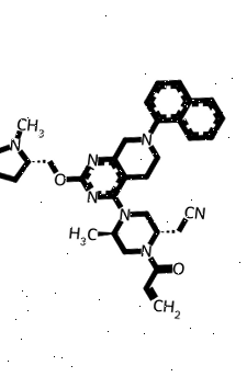 C=CC(=O)N1C[C@@H](C)N(c2nc(OC[C@@H]3CCCN3C)nc3c2CCN(c2cccc4ccccc24)C3)C[C@@H]1CC#N